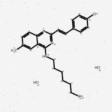 Cc1ccc2nc(/C=C/c3ccc(Cl)cc3)nc(NCCCCCCN)c2c1.Cl.Cl